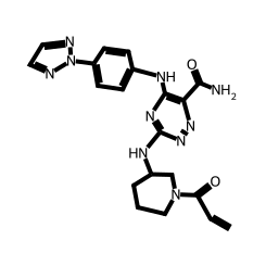 C=CC(=O)N1CCCC(Nc2nnc(C(N)=O)c(Nc3ccc(-n4nccn4)cc3)n2)C1